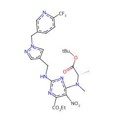 CCOC(=O)c1nc(NCc2cnn(Cc3ccc(C(F)(F)F)nc3)c2)nc(N(C)[C@@H](C)C(=O)OC(C)(C)C)c1[N+](=O)[O-]